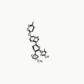 Cc1ccc(Oc2ccc3c(-c4ccc([C@H]5C[C@H](C#N)CO5)c(-n5nc(C#N)cc5C)n4)cnn3c2)nn1